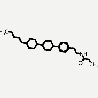 CCCCCC1CCC(C2CCC(c3ccc(CCNC(=O)CC)cc3)CC2)CC1